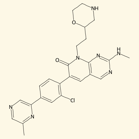 CNc1ncc2cc(-c3ccc(-c4cncc(C)n4)cc3Cl)c(=O)n(CCC3CNCCO3)c2n1